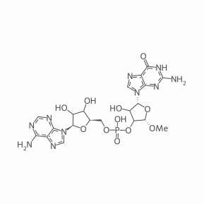 CO[C@H]1O[C@@H](n2cnc3c(=O)[nH]c(N)nc32)C(O)C1OP(=O)(O)OC[C@H]1O[C@@H](n2cnc3c(N)ncnc32)C(O)C1O